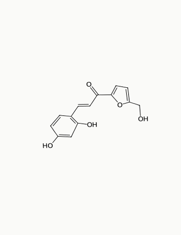 O=C(C=Cc1ccc(O)cc1O)c1ccc(CO)o1